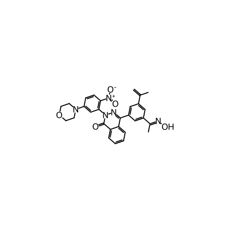 C=C(C)c1cc(/C(C)=N/O)cc(-c2nn(-c3cc(N4CCOCC4)ccc3[N+](=O)[O-])c(=O)c3ccccc23)c1